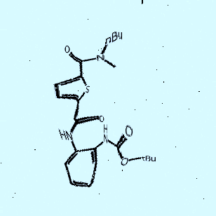 CCCCN(C)C(=O)c1ccc(C(=O)Nc2ccccc2NC(=O)OC(C)(C)C)s1